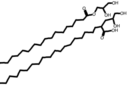 CCCCCCCCCCCCCCCCCC(=O)OCC(O)CO.CCCCCCCCCCCCCCCCCCCCC(CC(O)CO)C(=O)O